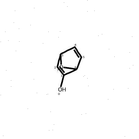 OC1=CC2C=CC1O2